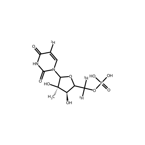 [2H]c1cn(C2OC(C([2H])([2H])OP(=O)(O)O)[C@@H](O)[C@@]2(C)O)c(=O)[nH]c1=O